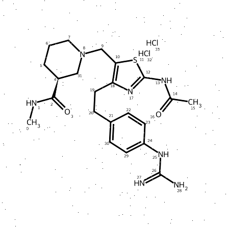 CNC(=O)[C@H]1CCCN(Cc2sc(NC(C)=O)nc2CCc2ccc(NC(=N)N)cc2)C1.Cl.Cl